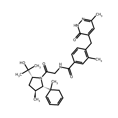 Cc1cc(Cc2ccc(C(=O)NCC(=O)N3[C@H](C4(C)C=CC=CC4)[C@@H](C)C[C@@H]3C(C)(C)O)cc2C)c(=O)[nH]n1